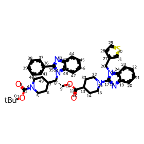 CC(C)(C)OC(=O)N1CCC([C@@H](COC(=O)C2CCN(c3nc4ccccc4n3Cc3ccsc3)CC2)n2c(-c3ccccc3)nc3ccccc32)CC1